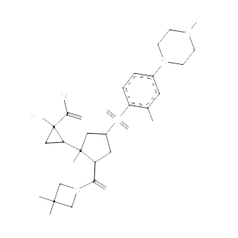 CC(=O)N1CCN(c2ccc(S(=O)(=O)C3CC(C(=O)N4CC(F)(F)C4)C(C(=O)O)(C4CC4(C#N)C(N)=O)C3)c(C(F)(F)F)c2)CC1